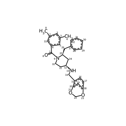 Cc1cc(C)cc(C(=O)N2CC[C@H](NCc3ccc4cc3OCO4)C[C@@H]2Cc2ccccc2)c1